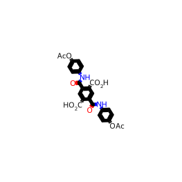 CC(=O)Oc1ccc(NC(=O)c2cc(C(=O)O)c(C(=O)Nc3ccc(OC(C)=O)cc3)cc2C(=O)O)cc1